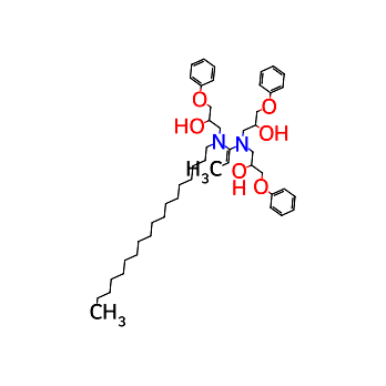 CC=C(N(CCCCCCCCCCCCCCCCCC)CC(O)COc1ccccc1)N(CC(O)COc1ccccc1)CC(O)COc1ccccc1